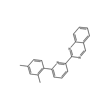 Cc1ccc(-c2cccc(-c3ncc4ccccc4n3)n2)c(C)c1